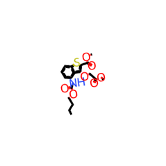 CCCCOC(=O)Nc1cccc2sc(C(=O)OC)c(OCC(=O)OC)c12